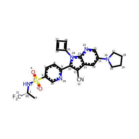 C[C@@H](NS(=O)(=O)c1ccc(-c2c(C#N)c3cc(N4CCCC4)cnc3n2C2=CC=C2)nc1)C(F)(F)F